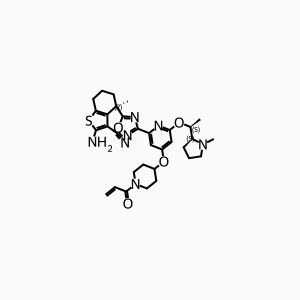 C=CC(=O)N1CCC(Oc2cc(O[C@@H](C)[C@@H]3CCCN3C)nc(-c3noc([C@]4(C)CCCc5sc(N)c(C#N)c54)n3)c2)CC1